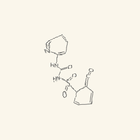 O=C=C1C=CC=CC1S(=O)(=O)NC(=O)Nc1ccccn1